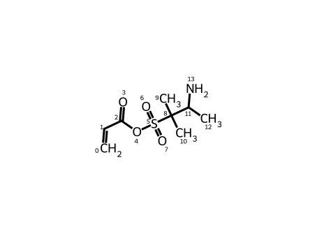 C=CC(=O)OS(=O)(=O)C(C)(C)C(C)N